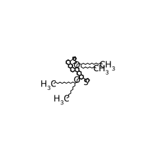 CCCCCCCCCCC(CCCCCCCC)COc1cc(-c2cccs2)cc2cc3cc(OCC(CCCCCCCC)CCCCCCCCCC)c4c5cc6c(-c7cccs7)cccc6cc5ccc4c3cc12